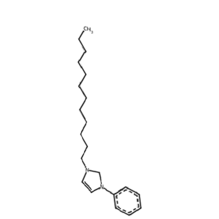 CCCCCCCCCCCCN1C=CN(c2ccccc2)C1